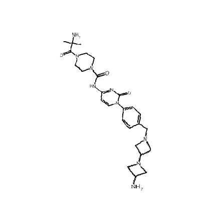 CC(C)(N)C(=O)N1CCN(C(=O)Nc2ccn(-c3ccc(CN4CC(N5CC(N)C5)C4)cc3)c(=O)n2)CC1